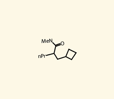 CCCC(CC1CCC1)C(=O)NC